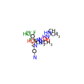 CNC(C)CNC(=O)OC(C)C1=NN(C[C@](O)(c2cc(F)ccc2F)[C@@H](C)c2nc(-c3ccc(C#N)cc3)cs2)C=[N+]1.Cl.[Cl-]